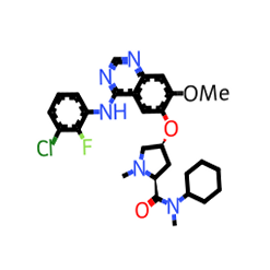 COc1cc2ncnc(Nc3cccc(Cl)c3F)c2cc1O[C@@H]1C[C@@H](C(=O)N(C)C2CCCCC2)N(C)C1